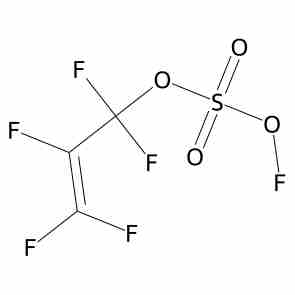 O=S(=O)(OF)OC(F)(F)C(F)=C(F)F